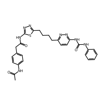 CC(=O)Nc1ccc(CC(=O)Nc2nnc(CCCCc3ccc(NC(=O)Nc4ccccc4)nn3)s2)cc1